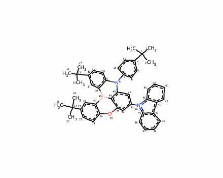 CC(C)(C)c1ccc(N2c3ccc(C(C)(C)C)cc3B3c4cc(C(C)(C)C)ccc4Oc4cc(-n5c6ccccc6c6ccccc65)cc2c43)cc1